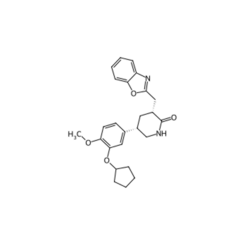 COc1ccc([C@H]2CNC(=O)[C@@H](Cc3nc4ccccc4o3)C2)cc1OC1CCCC1